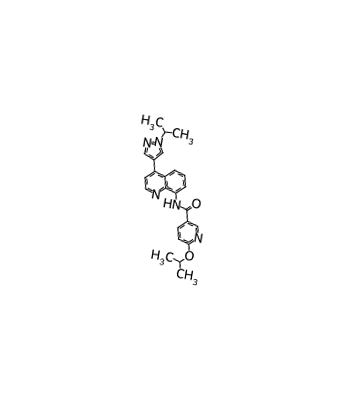 CC(C)Oc1ccc(C(=O)Nc2cccc3c(-c4cnn(C(C)C)c4)ccnc23)cn1